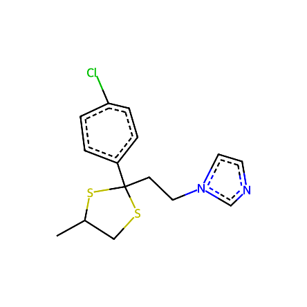 CC1CSC(CCn2ccnc2)(c2ccc(Cl)cc2)S1